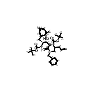 C=CCC1CN(Cc2ccccc2)C(=O)C([C@@H](O)[C@H](Cc2cc(F)cc(F)c2)NC(=O)OC(C)(C)C)N1C(=O)OC(C)(C)C